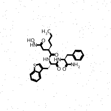 CCCC[C@H](CC(=O)NO)C(=O)N[C@@H](Cc1csc2ccccc12)C(=O)N[C@@H](Cc1ccccc1)C(N)=O